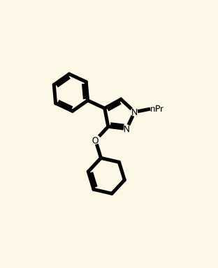 CCCn1cc(-c2ccccc2)c(OC2C=CCCC2)n1